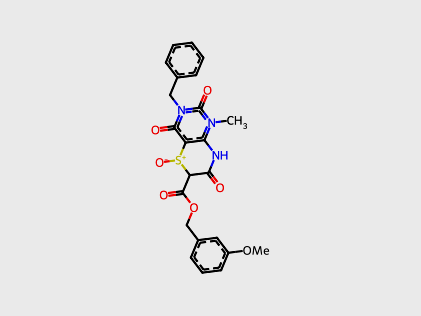 COc1cccc(COC(=O)C2C(=O)Nc3c(c(=O)n(Cc4ccccc4)c(=O)n3C)[S+]2[O-])c1